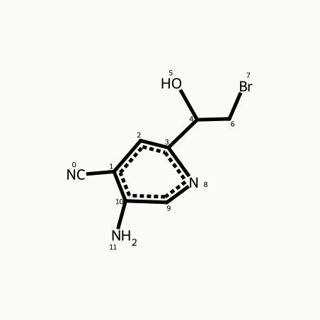 N#Cc1cc(C(O)CBr)ncc1N